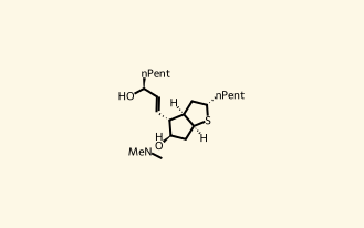 CCCCC[C@H]1C[C@@H]2[C@@H](C=C[C@@H](O)CCCCC)[C@H](O)C[C@@H]2S1.CNC